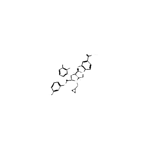 COC(=O)c1ccc2c(c1)nc1n2C[C@H]2[C@@H]1[C@H](c1cccc(Cl)c1F)[C@](C)(C(=O)Nc1cccc(Cl)c1)N2CC1CC1